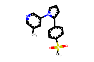 Cc1cncc(-n2cccc2-c2ccc(S(C)(=O)=O)cc2)c1